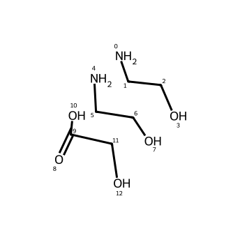 NCCO.NCCO.O=C(O)CO